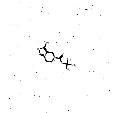 CC(C)(C)OC(=O)N1CCc2n[nH]c(S)c2C1